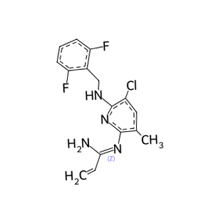 C=C/C(N)=N/c1nc(NCc2c(F)cccc2F)c(Cl)cc1C